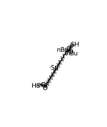 CCCCC(CCCC)(CCCCCCCCC[CH2][Sn][CH2]CCCCCCCCCCC(=O)OCCS)C(=O)OCCS